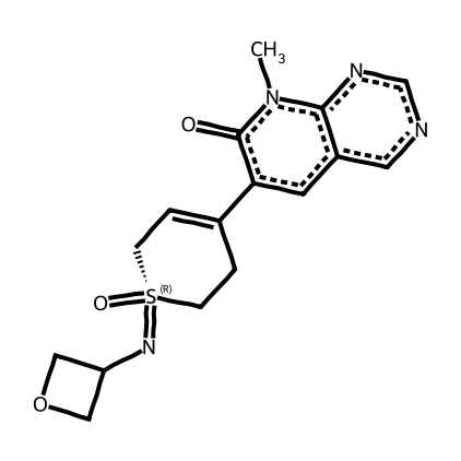 Cn1c(=O)c(C2=CC[S@@](=O)(=NC3COC3)CC2)cc2cncnc21